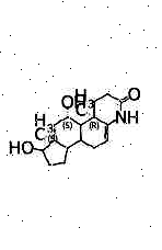 C[C@]12C[C@H](O)C3C(CC=C4NC(=O)CC[C@@]43C)C1CCC2O